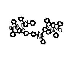 O=c1c2ccccc2c2cc3c4ccc(-c5ccc(-c6nc(-c7ccccc7)nc(-c7ccc(-n8c9ccccc9c9cc%10c%11ccccc%11c(=O)n%11c(-c%12ccccc%12)nc(c98)c%10%11)c8ccccc78)n6)cc5)cc4n(-c4cc(-c5ccccc5)nc(-c5ccccc5)n4)c3c3nc(-c4ccccc4)n1c23